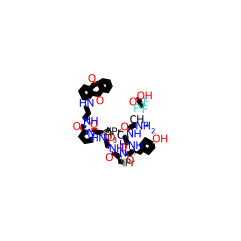 CC(C)C[C@H](NC(=O)[C@H](Cc1ccc(O)cc1)NC(=O)[C@H](C)NC(=O)[C@@H](C)N)C(=O)NCC(=O)N[C@@H](CC(C)C)C(=O)N1CCC[C@H]1C(=O)NCCCNc1cccc2c1C(=O)c1ccccc1C2=O.O=C(O)C(F)(F)F